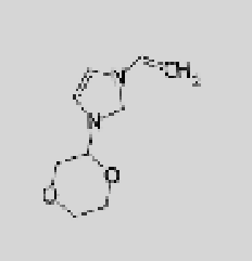 C=CN1C=CN(C2COCCO2)C1